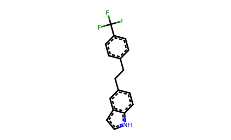 FC(F)(F)c1ccc(CCc2ccc3[nH]ccc3c2)cc1